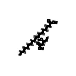 CCC(CC(=O)O)OC.CCCCCCCCCCCCCCCCCC(=O)O